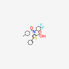 C[C@H]1CC[C@H](C(=O)N(c2cc(C3=CCCCC3)sc2C(=O)O)C2CCC(F)(F)CC2)CC1